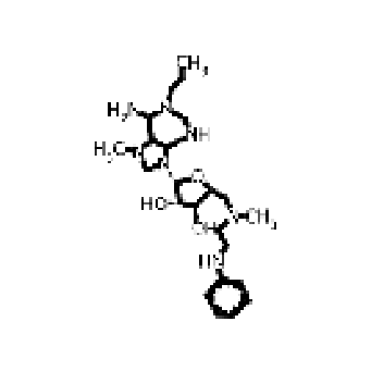 CCCN1CNC2C(C1N)N(C)CN2[C@@H]1OC(CN(C)CCNc2ccccc2)[C@@H](O)[C@H]1O